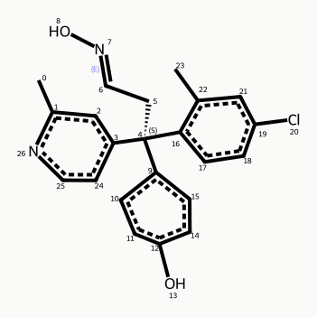 Cc1cc([C@](C/C=N/O)(c2ccc(O)cc2)c2ccc(Cl)cc2C)ccn1